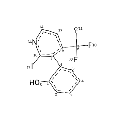 Oc1ccccc1-c1c(C(F)(F)F)ccnc1I